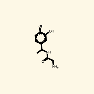 CC(NC(=O)CN)c1ccc(O)c(O)c1